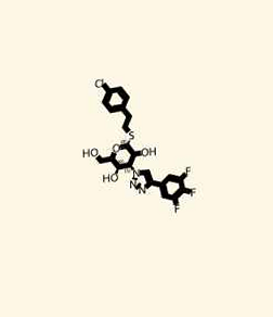 OCC1O[C@H](SCCc2ccc(Cl)cc2)C(O)[C@@H](n2cc(-c3cc(F)c(F)c(F)c3)nn2)[C@H]1O